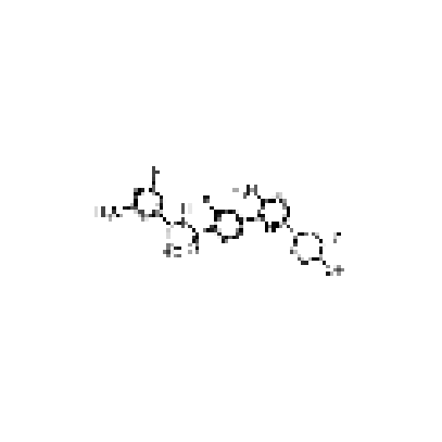 Cc1cc(F)cc([C@@H](CO)NC(=O)c2ccc(-c3nc([C@H]4CC[C@H](O)[C@@H](F)C4)cnc3N)cc2F)c1